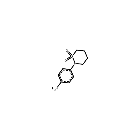 Nc1ccc(N2CCCCS2(=O)=O)cc1